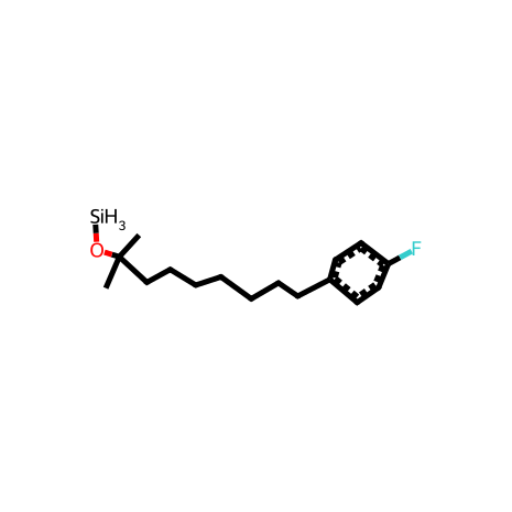 CC(C)(CCCCCCCc1ccc(F)cc1)O[SiH3]